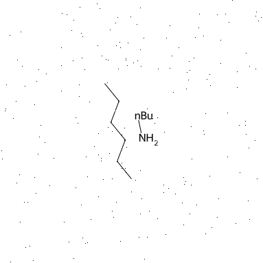 CCCCCC.CCCCN